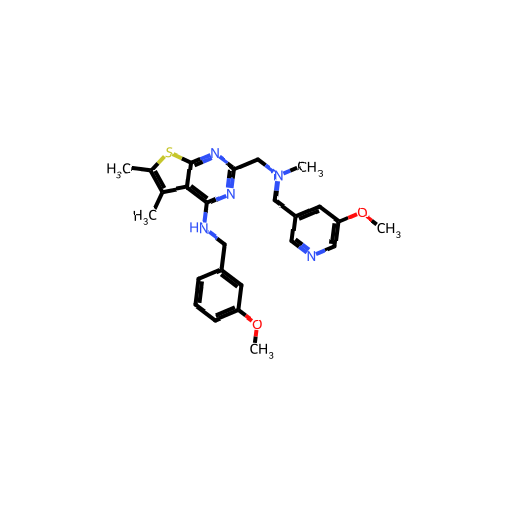 COc1cccc(CNc2nc(CN(C)Cc3cncc(OC)c3)nc3sc(C)c(C)c23)c1